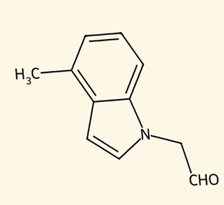 Cc1cccc2c1ccn2CC=O